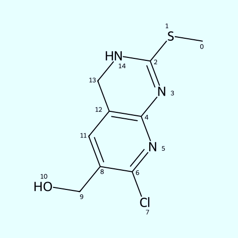 CSC1=Nc2nc(Cl)c(CO)cc2CN1